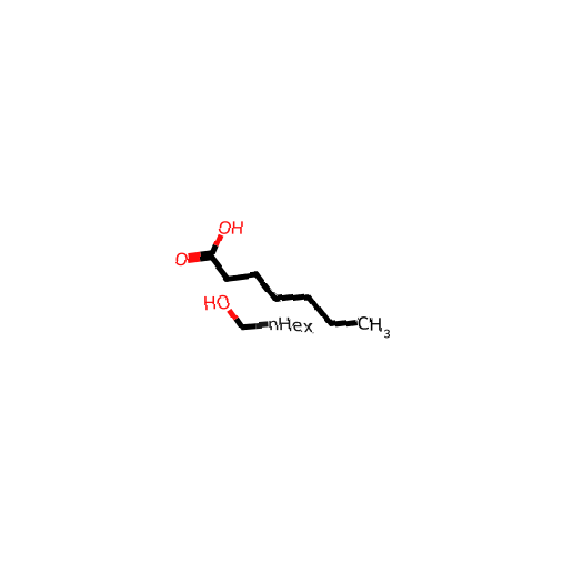 CCCCCCC(=O)O.CCCCCCCO